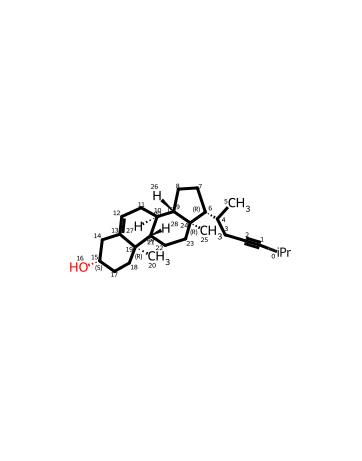 CC(C)C#CCC(C)[C@H]1CC[C@H]2[C@@H]3CC=C4C[C@@H](O)CC[C@]4(C)[C@H]3CC[C@]12C